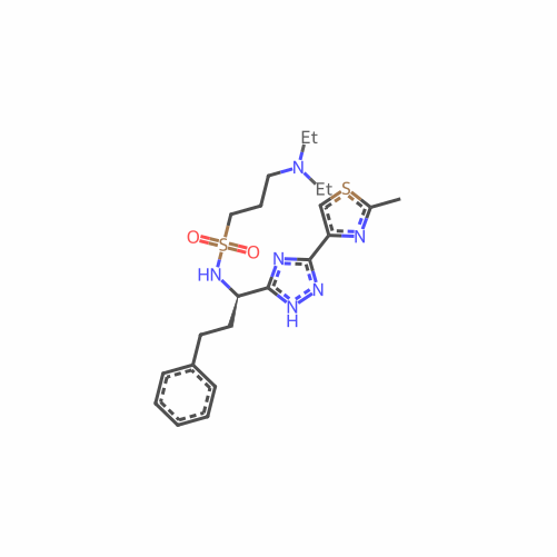 CCN(CC)CCCS(=O)(=O)N[C@H](CCc1ccccc1)c1nc(-c2csc(C)n2)n[nH]1